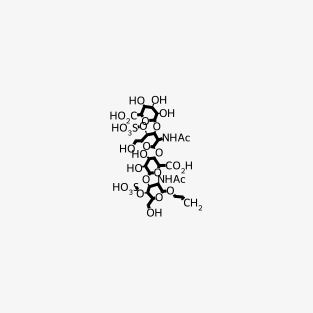 C=CCOC1OC(CO)[C@H](OS(=O)(=O)O)[C@H](OC2OC(C(=O)O)[C@@H](O[C@@H]3OC(CO)[C@H](OS(=O)(=O)O)[C@H](OC4OC(C(=O)O)[C@@H](O)[C@H](O)[C@@H]4O)C3NC(C)=O)[C@H](O)[C@@H]2O)[C@@H]1NC(C)=O